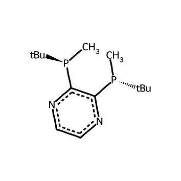 C[P@@](c1nccnc1[P@](C)C(C)(C)C)C(C)(C)C